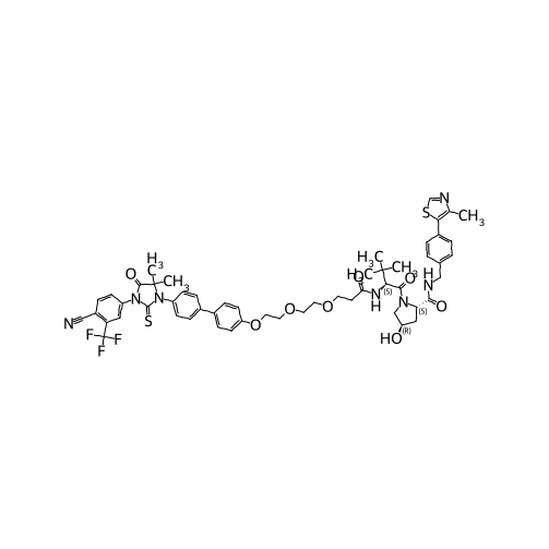 Cc1ncsc1-c1ccc(CNC(=O)[C@@H]2C[C@@H](O)CN2C(=O)[C@@H](NC(=O)CCOCCOCCOc2ccc(-c3ccc(N4C(=S)N(c5ccc(C#N)c(C(F)(F)F)c5)C(=O)C4(C)C)cc3)cc2)C(C)(C)C)cc1